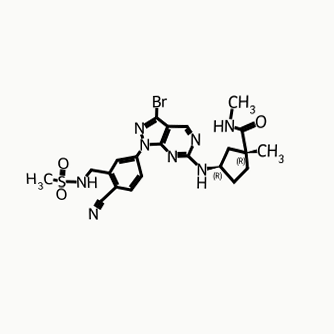 CNC(=O)[C@]1(C)CC[C@@H](Nc2ncc3c(Br)nn(-c4ccc(C#N)c(CNS(C)(=O)=O)c4)c3n2)C1